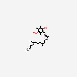 C/C(=C\Cc1c(C)c(O)c(C)c(C)c1O)CCCC(C)CCCC(C)CCCC(C)C